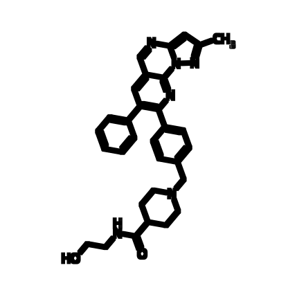 Cc1cc2ncc3cc(-c4ccccc4)c(-c4ccc(CN5CCC(C(=O)NCCO)CC5)cc4)nc3n2n1